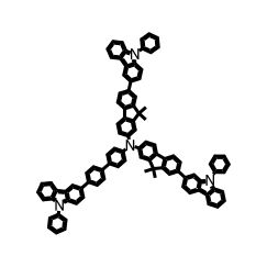 CC1(C)c2cc(-c3ccc4c(c3)c3ccccc3n4-c3ccccc3)ccc2-c2ccc(N(c3ccc(-c4ccc(-c5ccc6c(c5)c5ccccc5n6-c5ccccc5)cc4)cc3)c3ccc4c(c3)C(C)(C)c3cc(-c5ccc6c7ccccc7n(-c7ccccc7)c6c5)ccc3-4)cc21